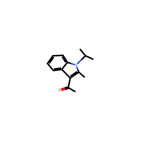 CC(=O)c1c(C)n(C(C)C)c2ccccc12